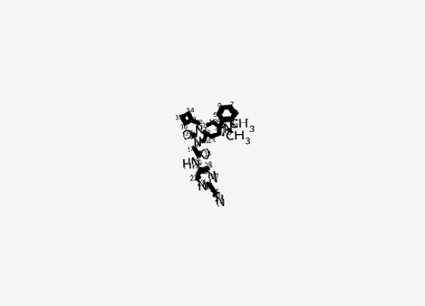 CN(C)[C@]1(c2ccccc2)CC[C@]2(CC1)CN(CC(=O)Nc1cnc(C#N)nc1)C(=O)N2CC1CCC1